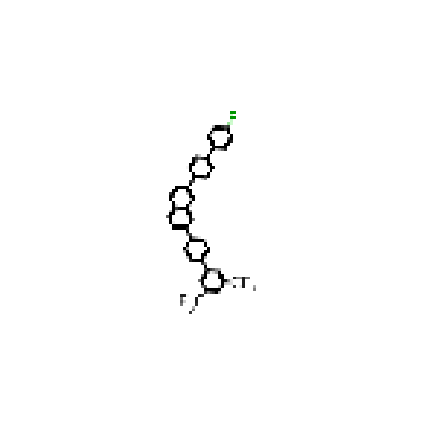 Fc1ccc(-c2ccc(-c3ccc4ccc(-c5ccc(-c6cc(C(F)(F)F)cc(C(F)(F)F)c6)cc5)cc4c3)cc2)cc1